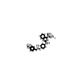 COc1ccc(CNC[C@H]2CC[C@@H](Nc3nc4c(c(N(C)C)n3)CCCC4)CC2)cc1